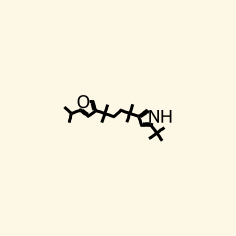 CC(C)c1cc(C(C)(C)CCC(C)(C)c2c[nH]c(C(C)(C)C)c2)co1